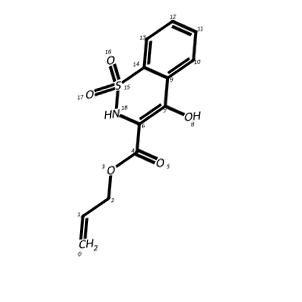 C=CCOC(=O)C1=C(O)c2ccccc2S(=O)(=O)N1